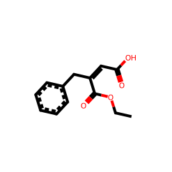 CCOC(=O)/C(=C\C(=O)O)Cc1ccccc1